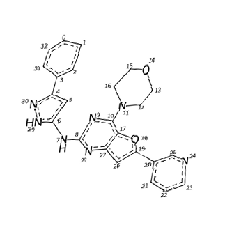 c1ccc(-c2cc(Nc3nc(N4CCOCC4)c4oc(-c5cccnc5)cc4n3)[nH]n2)cc1